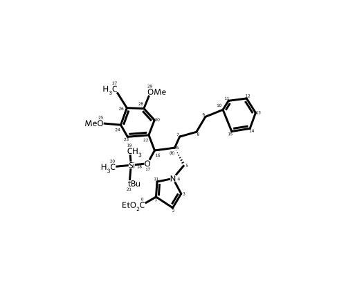 CCOC(=O)c1ccn(C[C@@H](CCCc2ccccc2)C(O[Si](C)(C)C(C)(C)C)c2cc(OC)c(C)c(OC)c2)c1